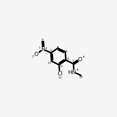 C=[N+]([O-])c1ccc(C(=O)NC)c(Cl)c1